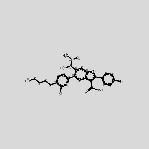 CNC(=O)c1c(-c2ccc(F)cc2)oc2cc(N(C)[S+](C)[O-])c(-c3ccc(CCCCO)c(Cl)n3)cc12